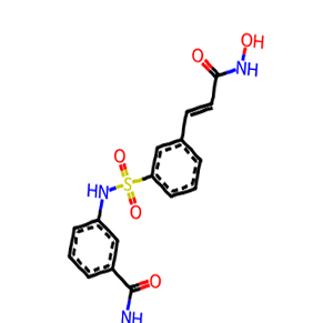 NC(=O)c1cccc(NS(=O)(=O)c2cccc(/C=C/C(=O)NO)c2)c1